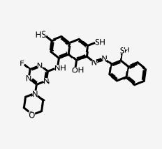 Oc1c(/N=N/c2ccc3ccccc3c2S)c(S)cc2cc(S)cc(Nc3nc(F)nc(N4CCOCC4)n3)c12